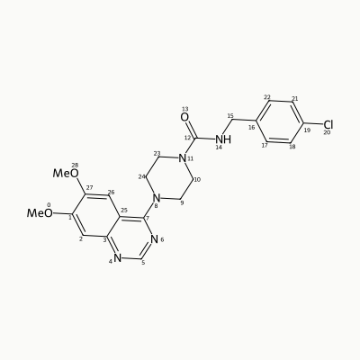 COc1cc2ncnc(N3CCN(C(=O)NCc4ccc(Cl)cc4)CC3)c2cc1OC